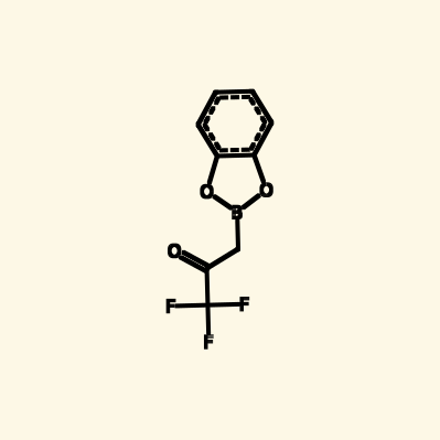 O=C(CB1Oc2ccccc2O1)C(F)(F)F